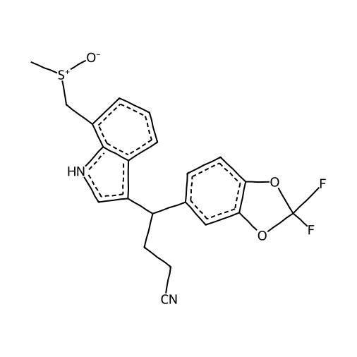 C[S+]([O-])Cc1cccc2c(C(CCC#N)c3ccc4c(c3)OC(F)(F)O4)c[nH]c12